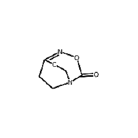 O=C1ON=C2CCN1CC2